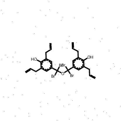 C=CCc1cc(C(Br)(Br)OC(Br)(Br)c2cc(CC=C)c(O)c(CC=C)c2)cc(CC=C)c1O